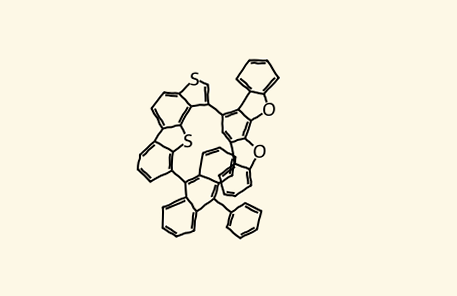 c1ccc(-c2c3ccccc3c(-c3cccc4c3sc3c4ccc4scc(-c5cc6c7ccccc7oc6c6oc7ccccc7c56)c43)c3ccccc23)cc1